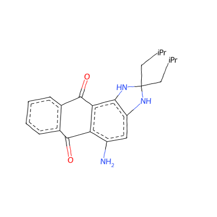 CC(C)CC1(CC(C)C)Nc2cc(N)c3c(c2N1)C(=O)c1ccccc1C3=O